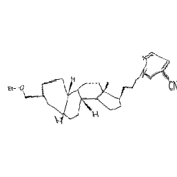 CCOC[C@H]1CC[C@@H]2C3CC[C@@]4(C)C(CC[C@@H]4CCn4nccc4C#N)[C@@H]3CC[C@@H]2C1